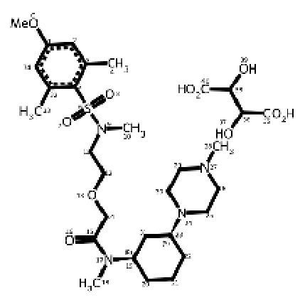 COc1cc(C)c(S(=O)(=O)N(C)CCOCC(=O)N(C)[C@@H]2CCC[C@H](N3CCN(C)CC3)C2)c(C)c1.O=C(O)C(O)C(O)C(=O)O